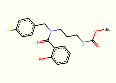 CC(C)(C)OC(=O)NCCCN(Cc1ccc(F)cc1)C(=O)c1ccccc1O